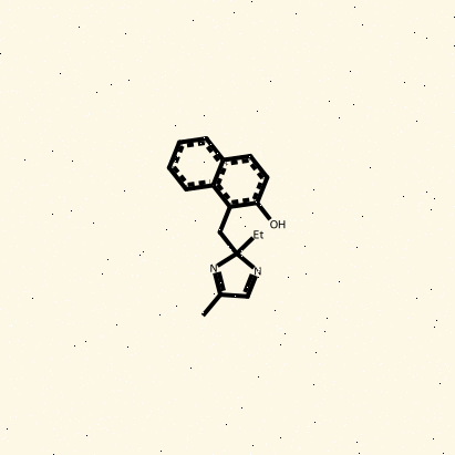 CCC1(Cc2c(O)ccc3ccccc23)N=CC(C)=N1